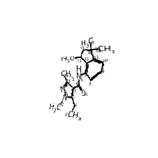 CCc1c(C(=O)Nc2cccc3c2C(C)CC3(C)C)c(C)nn1C